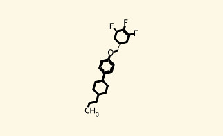 CCCC1CCC(c2ccc(OC[C@H]3CC(F)=C(F)[C@H](F)C3)cc2)CC1